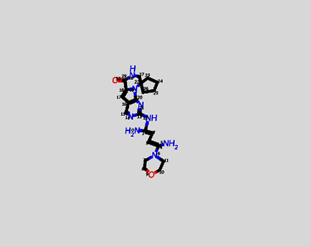 N/C(=C\C=C(/N)N1CCOCC1)Nc1ncc2cc3n(c2n1)C1(CCCC1)CNC3=O